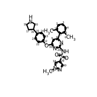 Cc1cccc(C)c1-c1cc(Oc2ccc(C3CCNC3)cc2)nc(NS(=O)(=O)c2cnn(C)c2)n1